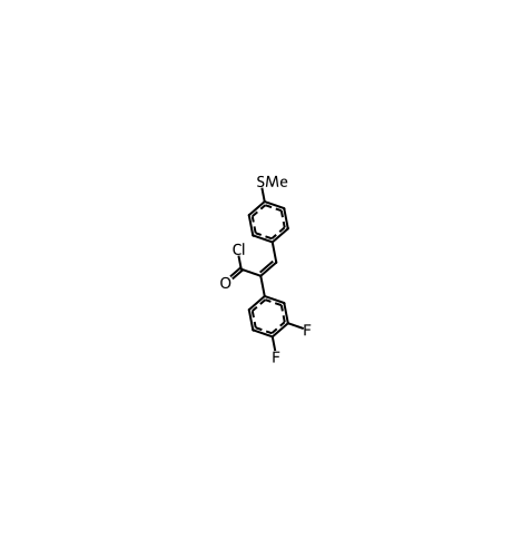 CSc1ccc(/C=C(\C(=O)Cl)c2ccc(F)c(F)c2)cc1